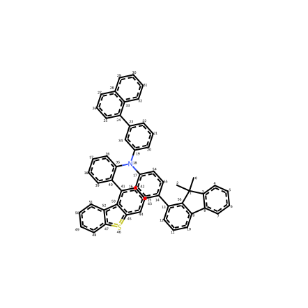 CC1(C)c2ccccc2-c2cccc(-c3ccc(N(c4cccc(-c5cccc6ccccc56)c4)c4ccccc4-c4cccc5sc6ccccc6c45)cc3)c21